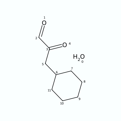 O.O=CC(=O)CC1CCCCC1